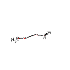 CCCCCCCCCCCCCCCCCCCCCCCCCCC=CNCCO